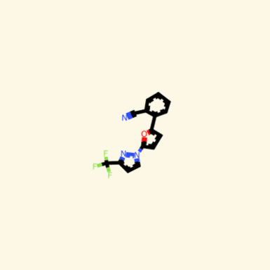 N#Cc1ccccc1-c1ccc(-n2ccc(C(F)(F)F)n2)o1